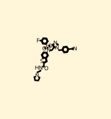 N#Cc1ccc(Cn2cncc2CN(c2ccc3sc(C(=O)NCCN4CCCC4)cc3c2)S(=O)(=O)c2cccc(F)c2)cc1